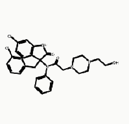 O=C(CN1CCN(CCO)CC1)N(c1ccccc1)C1(Cc2cccc(Cl)c2)C(=O)Nc2cc(Cl)ccc21